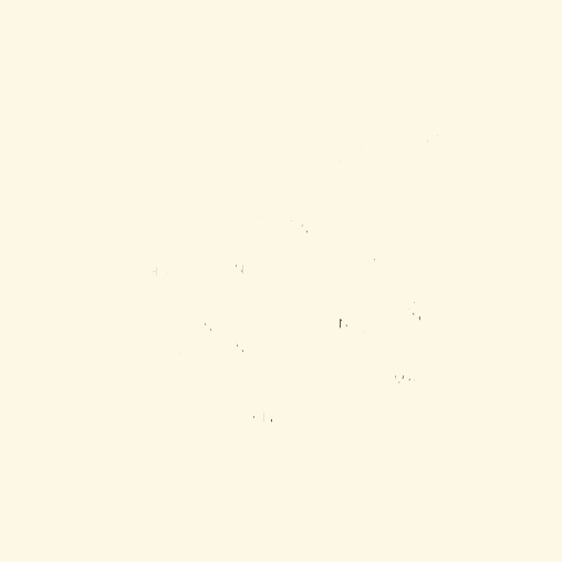 COc1ncc(-c2cc(Cl)ccc2N2CCN(C(C=O)n3nc(C)cc3C)CC2)cn1